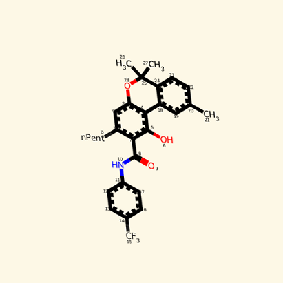 CCCCCc1cc2c(c(O)c1C(=O)Nc1ccc(C(F)(F)F)cc1)-c1cc(C)ccc1C(C)(C)O2